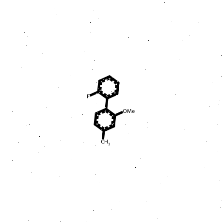 COc1cc(C)ccc1-c1ccccc1F